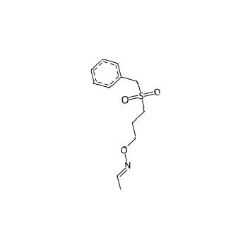 C/C=N/OCCCS(=O)(=O)Cc1ccccc1